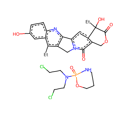 CCc1c2c(nc3ccc(O)cc13)-c1cc3c(c(=O)n1C2)COC(=O)C3(O)CC.O=P1(N(CCCl)CCCl)NCCCO1